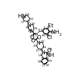 CCc1cc(C[C@@H](OC(=O)N2CCC(N3Cc4ccccc4NC3=O)CC2)C(=O)N2CCN(C3CCNCC3)CC2)cc(Cl)c1N